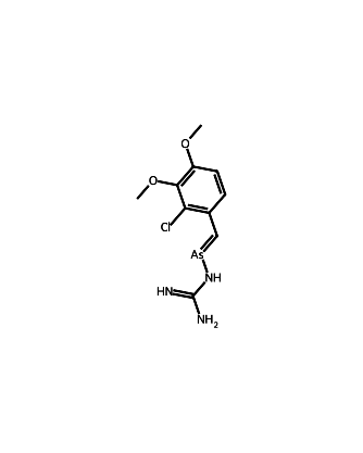 COc1ccc(/C=[As]/NC(=N)N)c(Cl)c1OC